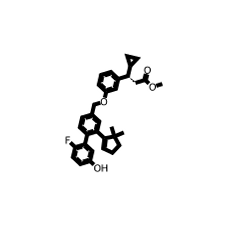 COC(=O)C[C@H](c1cccc(OCc2ccc(-c3cc(O)ccc3F)c(C3=CCCC3(C)C)c2)c1)C1CC1